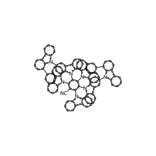 N#Cc1c(-n2c3ccccc3c3ccccc32)c(-n2c3ccccc3c3cc(-n4c5ccccc5c5cccc(-c6ccccc6)c54)ccc32)c(-n2c3ccccc3c3ccccc32)c(-n2c3ccccc3c3cc(-n4c5ccccc5c5cccc(-c6ccccc6)c54)ccc32)c1-n1c2ccccc2c2ccccc21